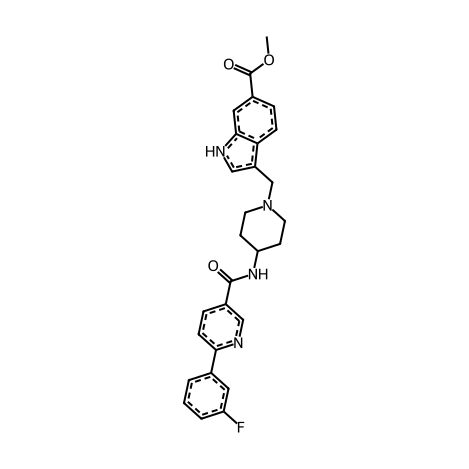 COC(=O)c1ccc2c(CN3CCC(NC(=O)c4ccc(-c5cccc(F)c5)nc4)CC3)c[nH]c2c1